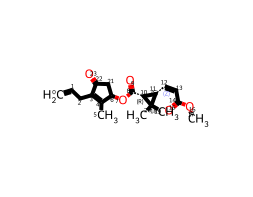 C=CCC1=C(C)C(OC(=O)[C@@H]2[C@H](/C=C\C(=O)OC)C2(C)C)CC1=O